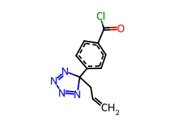 C=CCC1(c2ccc(C(=O)Cl)cc2)N=NN=N1